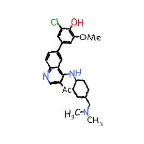 COc1cc(-c2ccc3ncc(C(C)=O)c(NC4CCC(CN(C)C)CC4)c3c2)cc(Cl)c1O